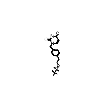 CC(C)(C)[Si](C)(C)OCCc1ccc(Cn2ccc(=O)[nH]c2=O)cc1